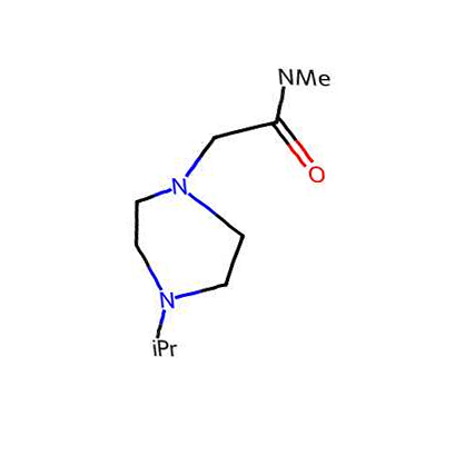 CNC(=O)CN1CCN(C(C)C)CC1